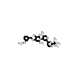 COc1cccc(COc2cc(C)n(-c3cc(-c4ccnc(C(C)(C)C)n4)ncc3C)c(=O)c2Cl)c1